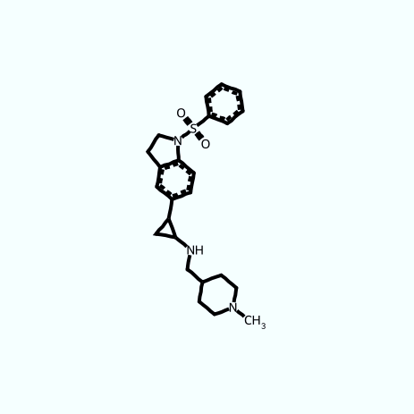 CN1CCC(CNC2CC2c2ccc3c(c2)CCN3S(=O)(=O)c2ccccc2)CC1